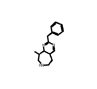 CC1CNCCC2C=NC(Cc3ccccc3)=NC12